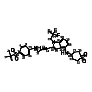 CC(C)(C)S(=O)(=O)c1ccc(NCC#Cc2cc3c(NC4CCS(=O)(=O)CC4)cccc3n2CC(F)(F)F)cc1